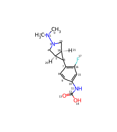 CN(C)N1C[C@@H]2C(c3ccc(NC(=O)O)cc3F)[C@@H]2C1